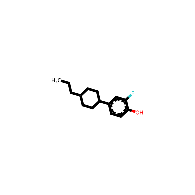 CCCC1CCC(c2ccc(O)c(F)c2)CC1